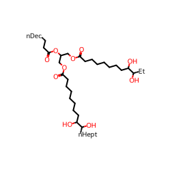 CCCCCCCCCCCCC(=O)OC(COC(=O)CCCCCCCC(O)C(O)CC)COC(=O)CCCCCCCC(O)C(O)CCCCCCC